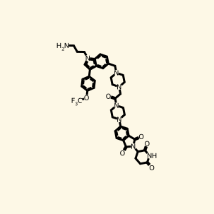 NCCCn1cc(-c2ccc(OC(F)(F)F)cc2)c2cc(CN3CCN(CC(=O)N4CCN(c5ccc6c(c5)C(=O)N(C5CCC(=O)NC5=O)C6=O)CC4)CC3)ccc21